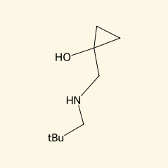 CC(C)(C)CNCC1(O)CC1